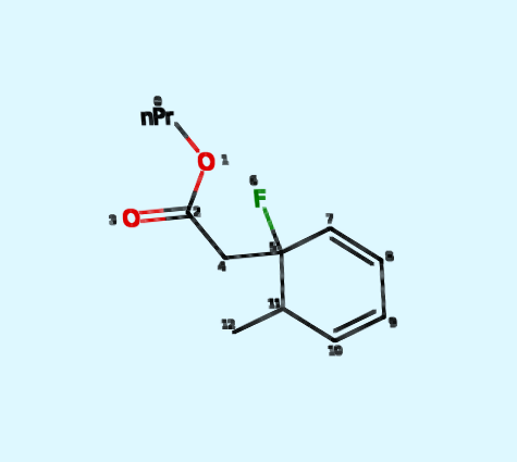 CCCOC(=O)CC1(F)C=CC=CC1C